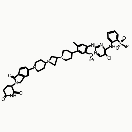 Cc1cc(Nc2ncc(Cl)c(Nc3ccccc3S(=O)(=O)C(C)C)n2)c(OC(C)C)cc1C1CCN(C2CN(C3CCN(c4ccc5c(c4)CN(C4CCC(=O)NC4=O)C5=O)CC3)C2)CC1